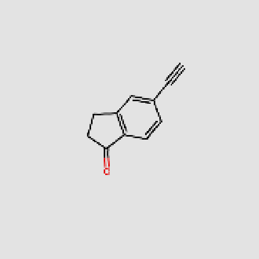 C#Cc1ccc2c(c1)CCC2=O